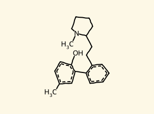 Cc1ccc(O)c(-c2ccccc2CCC2CCCCN2C)c1